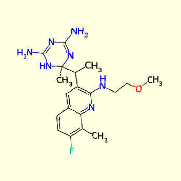 COCCNc1nc2c(C)c(F)ccc2cc1C(C)C1(C)N=C(N)N=C(N)N1